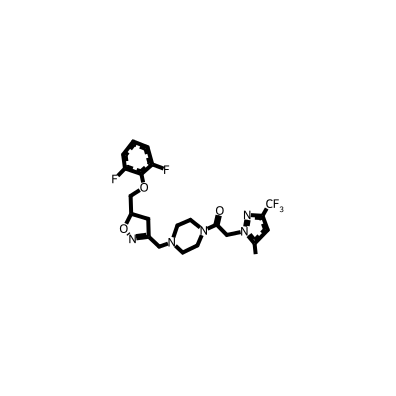 Cc1cc(C(F)(F)F)nn1CC(=O)N1CCN(CC2=NOC(COc3c(F)cccc3F)C2)CC1